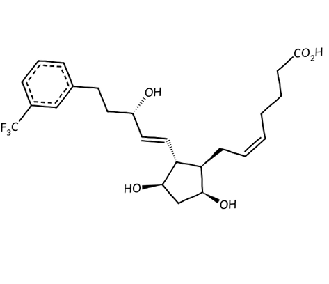 O=C(O)CCC/C=C\C[C@@H]1[C@@H](/C=C/[C@@H](O)CCc2cccc(C(F)(F)F)c2)[C@H](O)C[C@@H]1O